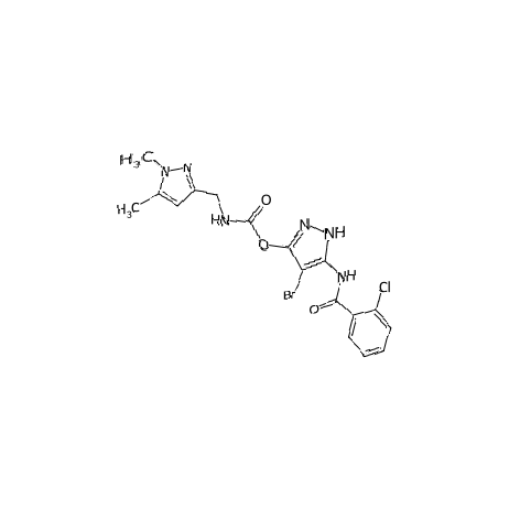 Cc1cc(CNC(=O)Oc2n[nH]c(NC(=O)c3ccccc3Cl)c2Br)nn1C